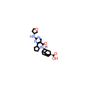 O=C(N[C@H]1C2CC3CC1C[C@@](C(=O)O)(C3)C2)c1cnc(N[C@H]2CCOC2)nc1C1CCCC1